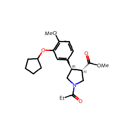 CCC(=O)N1C[C@@H](C(=O)OC)[C@H](c2ccc(OC)c(OC3CCCC3)c2)C1